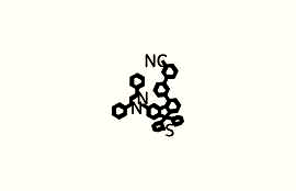 N#Cc1cccc(-c2cccc(-c3cccc4c3-c3cc(-c5nc(-c6ccccc6)cc(-c6ccccc6)n5)ccc3C43c4ccccc4Sc4ccccc43)c2)c1